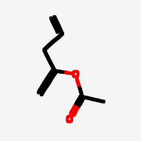 C=CCC(=C)OC(C)=O